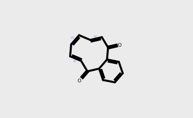 O=C1/C=C/C=C\C=C\C(=O)c2ccccc21